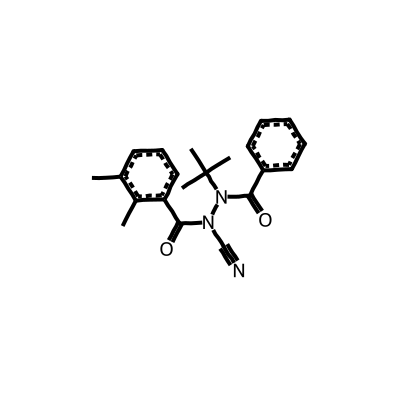 Cc1cccc(C(=O)N(C#N)N(C(=O)c2ccccc2)C(C)(C)C)c1C